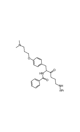 CCCNCCCC(=O)C(Cc1ccc(OCCCN(C)C)cc1)NC(=O)c1ccccc1